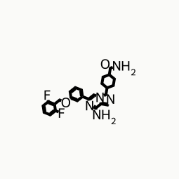 NC(=O)C1CCC(c2ncc3c(N)nc(-c4cccc(OCc5c(F)cccc5F)c4)cn23)CC1